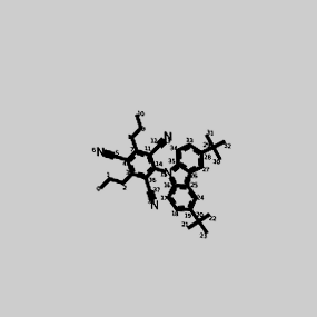 CCCc1c(C#N)c(CCC)c(C#N)c(-n2c3ccc(C(C)(C)C)cc3c3cc(C(C)(C)C)ccc32)c1C#N